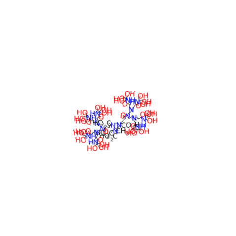 CC1(N(CC(=O)O)CC(=O)O)CN(C(CCC(=O)N(CCN(CCC(=O)NC(CO)(CO)CO)CCC(=O)NC(CO)(CO)CO)CCN(CCC(=O)NC(CO)(CO)CO)CCC(=O)NC(CO)(CO)CO)C(=O)O)CCN(C(CCC(=O)N(CCN(CCC(=O)NC(CO)(CO)CO)CCC(=O)NC(CO)(CO)CO)CCN(CCC(=O)NC(CO)(CO)CO)CCC(=O)NC(CO)(CO)CO)C(=O)O)C1